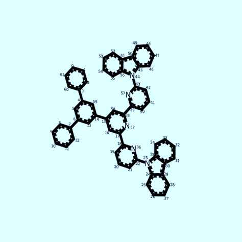 c1ccc(-c2cc(-c3ccccc3)cc(-c3cc(-c4cccc(-n5c6ccccc6c6ccccc65)n4)nc(-c4cccc(-n5c6ccccc6c6ccccc65)n4)c3)c2)cc1